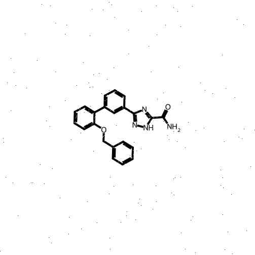 NC(=O)c1nc(-c2cccc(-c3ccccc3OCc3ccccc3)c2)n[nH]1